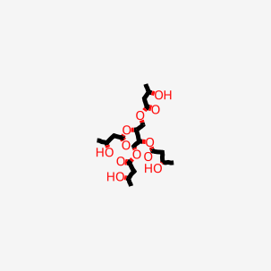 CC(O)CC(=O)OCC(OC(=O)CC(C)O)C(COC(=O)CC(C)O)OC(=O)CC(C)O